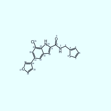 O=C(NCc1cccs1)c1cc2cc(-c3ccoc3)cc(Cl)c2[nH]1